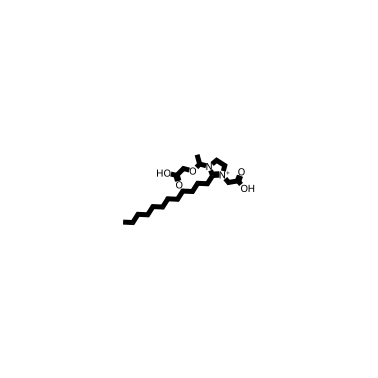 CCCCCCCCCCCCC1=[N+](CC(=O)O)CCN1C(C)OCC(=O)O